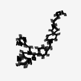 CCCN1CC2(CCN(Cc3ccc(C(=O)N(Cc4ncc[nH]4)Cc4ncc[nH]4)cc3)CC2)C1